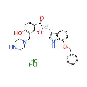 Cl.Cl.O=C1/C(=C/c2c[nH]c3c(OCc4ccccc4)cccc23)Oc2c1ccc(O)c2CN1CCNCC1